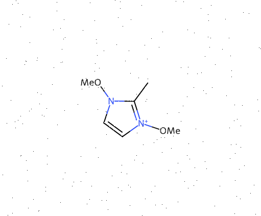 COn1cc[n+](OC)c1C